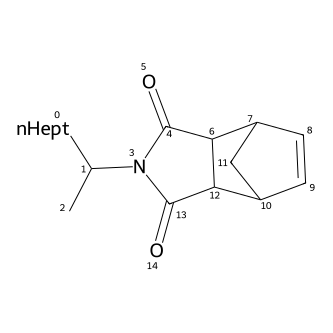 CCCCCCCC(C)N1C(=O)C2C3C=CC(C3)C2C1=O